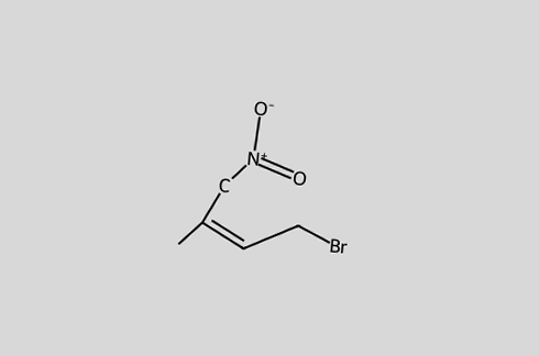 CC(=CCBr)C[N+](=O)[O-]